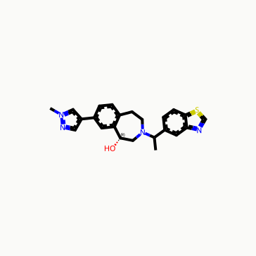 CC(c1ccc2scnc2c1)N1CCc2ccc(-c3cnn(C)c3)cc2[C@@H](O)C1